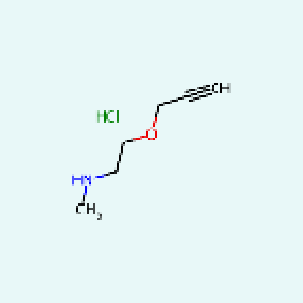 C#CCOCCNC.Cl